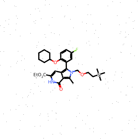 CCOC(=O)c1cc2c(-c3cc(F)ccc3OC3CCCCC3)n(COCC[Si](C)(C)C)c(C)c2c(=O)[nH]1